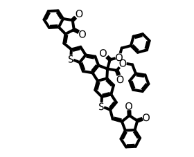 O=C1C(=O)c2ccccc2/C1=C/c1cc2cc3c(cc2s1)-c1cc2sc(/C=C4\C(=O)C(=O)c5ccccc54)cc2cc1C3(C(=O)OCc1ccccc1)C(=O)OCc1ccccc1